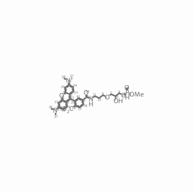 CO[PH](=O)OCC(O)COCCCNC(=O)c1ccc(C(=O)O)c(-c2c3ccc(=[N+](C)C)cc-3oc3cc(N(C)C)ccc23)c1